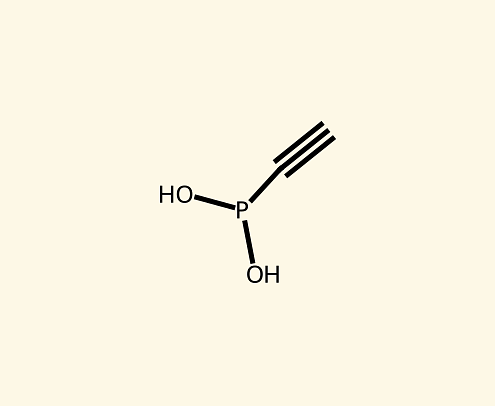 C#CP(O)O